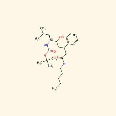 CCCCC[N]C(=O)CC(CC(O)[C@H](CC(C)C)NC(=O)OC(C)(C)C)c1ccccc1